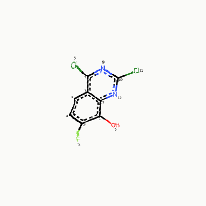 Oc1c(F)ccc2c(Cl)nc(Cl)nc12